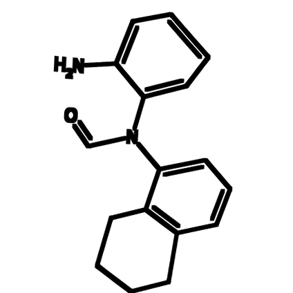 Nc1ccccc1N(C=O)c1cccc2c1CCCC2